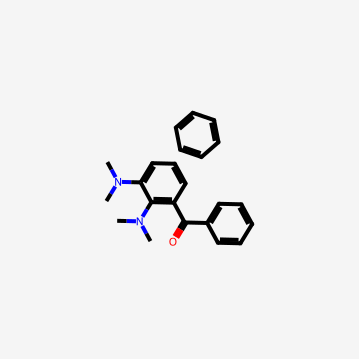 CN(C)c1cccc(C(=O)c2ccccc2)c1N(C)C.c1ccccc1